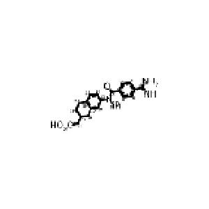 CC(C)N(C(=O)c1ccc(C(=N)N)cc1)c1ccc2c(c1)CC(CC(=O)O)CC2